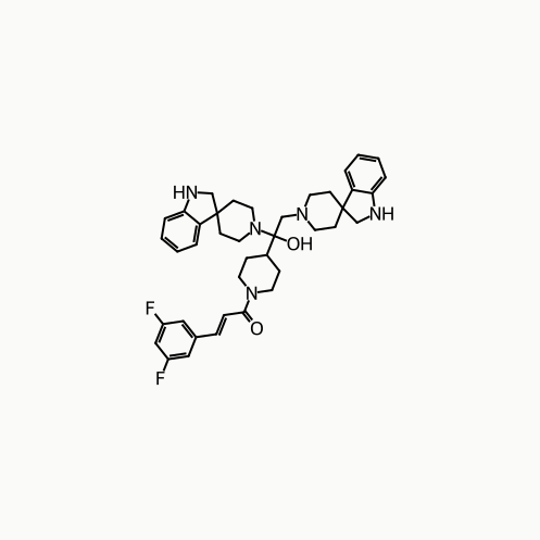 O=C(/C=C/c1cc(F)cc(F)c1)N1CCC(C(O)(CN2CCC3(CC2)CNc2ccccc23)N2CCC3(CC2)CNc2ccccc23)CC1